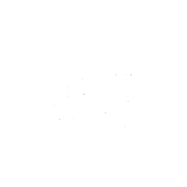 COc1cc([P+](C)(c2ccccc2)c2ccccc2)c(C)c(C)c1C.[Cl-]